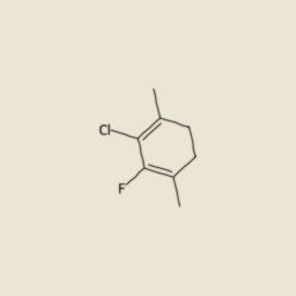 CC1=C(F)C(Cl)=C(C)CC1